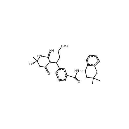 COCCC(c1cncc(C(=O)N[C@H]2CC(C)(C)Oc3ccccc32)c1)N1C(=N)N[C@](C)(C(C)C)CC1=O